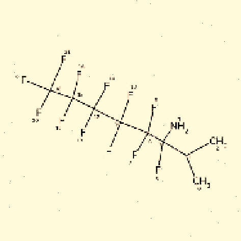 CC(C)C(N)(F)C(F)(F)C(F)(F)C(F)(F)C(F)(F)C(F)(F)F